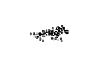 C=C(C)[C@@H]1CC[C@]2(C(=O)N3CCC[C@H]3c3ncc(-c4ccccc4)[nH]3)CC[C@]3(C)[C@H](CC[C@@H]4[C@@]5(C)CC[C@H](OC(=O)[C@@H]6C[C@H](C(=O)O)C6(C)C)C(C)(C)[C@@H]5CC[C@]43C)[C@@H]12